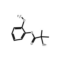 CCCC(C)(C)C(=O)Oc1ccccc1OC(F)(F)F